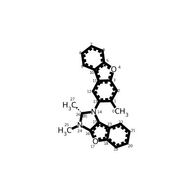 Cc1cc2oc3ccccc3c2cc1N1c2c(oc3ccccc23)N(C)[C@@H]1C